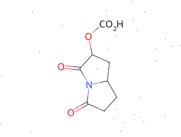 O=C(O)OC1CC2CCC(=O)N2C1=O